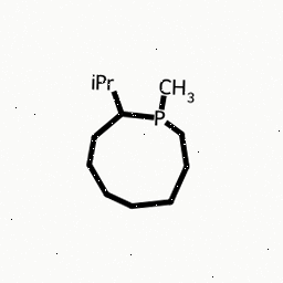 CC(C)C1CCCCCCCP1C